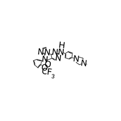 CN1CCN(c2ccc(Nc3ncc4c(=O)n(-c5ccccc5OC(F)(F)F)c5nccn5c4n3)cc2)CC1